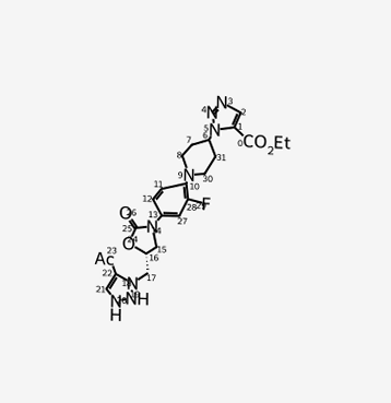 CCOC(=O)c1cnnn1C1CCN(c2ccc(N3C[C@H](CN4NNC=C4C(C)=O)OC3=O)cc2F)CC1